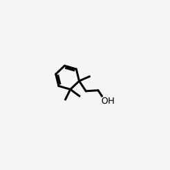 CC1(C)C=CC=CC1(C)CCO